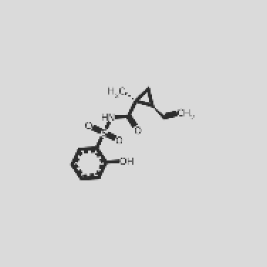 C=C[C@@H]1C[C@]1(C)C(=O)NS(=O)(=O)c1ccccc1O